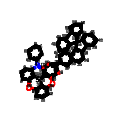 c1ccc(N2c3cccc4c3[Si]3(c5ccccc5)c5c(cccc5Oc5cc(-c6ccc7c8c(ccc7c6)-c6ccccc6C86c7ccccc7-c7ccccc76)cc2c53)O4)cc1